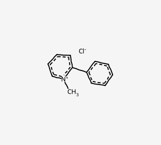 C[n+]1ccccc1-c1ccccc1.[Cl-]